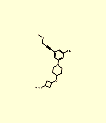 COC1CC(OC2CCN(c3cc(C#N)cc(C#CCOI)c3)CC2)C1